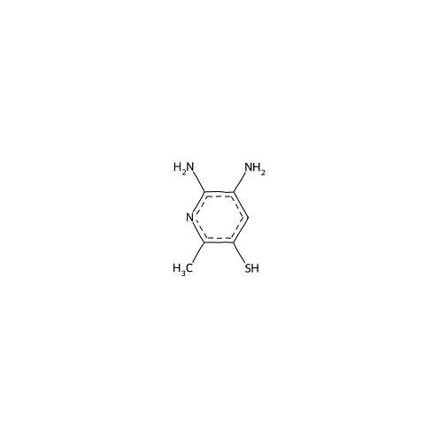 Cc1nc(N)c(N)cc1S